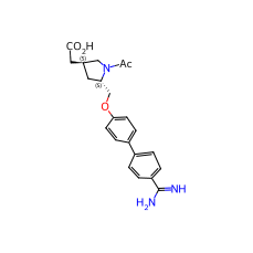 CC(=O)N1C[C@H](CC(=O)O)C[C@H]1COc1ccc(-c2ccc(C(=N)N)cc2)cc1